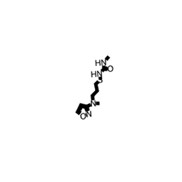 CNC(=O)NSCCCN(C)c1ccon1